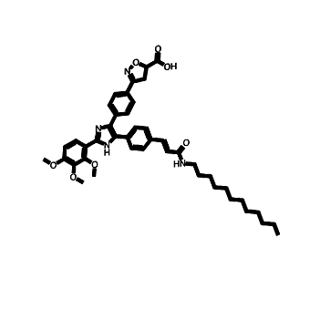 CCCCCCCCCCCCNC(=O)C=Cc1ccc(-c2[nH]c(-c3ccc(OC)c(OC)c3OC)nc2-c2ccc(C3=NOC(C(=O)O)C3)cc2)cc1